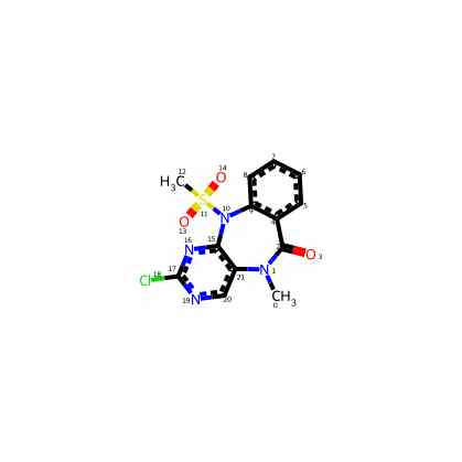 CN1C(=O)c2ccccc2N(S(C)(=O)=O)c2nc(Cl)ncc21